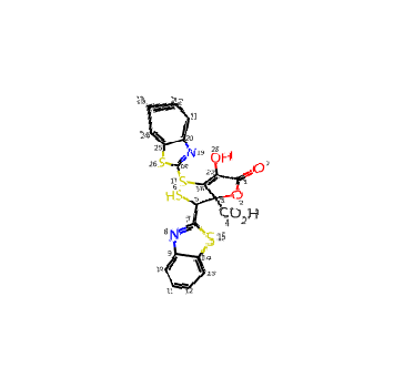 O=C1OC(C(=O)O)(C(S)c2nc3ccccc3s2)C(Sc2nc3ccccc3s2)=C1O